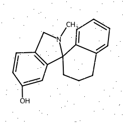 CN1Cc2ccc(O)cc2C12CCCc1ccccc12